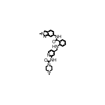 CN1CCN(C(=O)Nc2cc(CNc3ccccc3C(=O)Nc3ccc4cn(C)nc4c3)ccn2)CC1